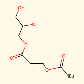 CCC(C)C(=O)OCCC(=O)OCC(O)CO